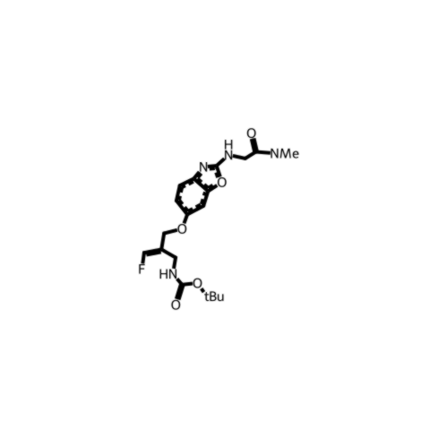 CNC(=O)CNc1nc2ccc(OCC(=CF)CNC(=O)OC(C)(C)C)cc2o1